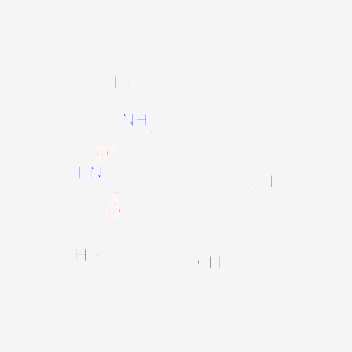 CCCCc1c(CCCC)c(CCCC)c(C(N)=O)c(C(N)=O)c1CCCC